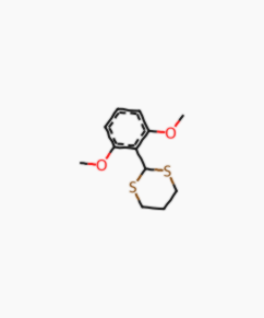 COc1cccc(OC)c1C1SCCCS1